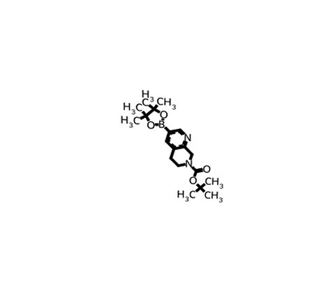 CC(C)(C)OC(=O)N1CCc2cc(B3OC(C)(C)C(C)(C)O3)cnc2C1